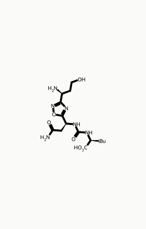 CCC(C)[C@H](NC(=O)N[C@@H](CC(N)=O)c1nc([C@@H](N)CCO)no1)C(=O)O